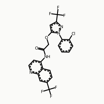 O=C(COc1cc(C(F)(F)F)nn1-c1ccccc1Cl)Nc1ccnc2cc(C(F)(F)F)ccc12